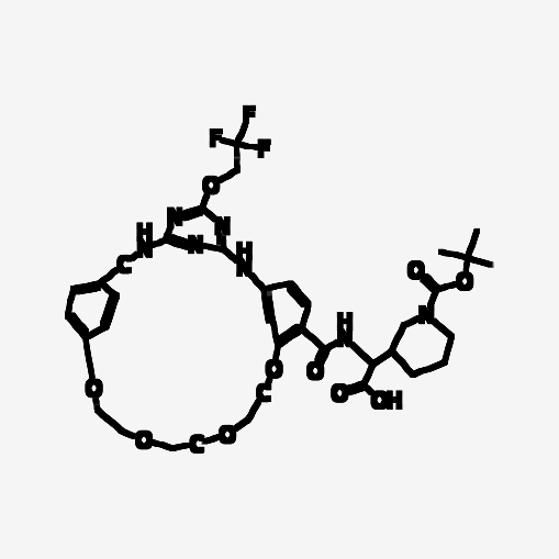 CC(C)(C)OC(=O)N1CCCC(C(NC(=O)c2ccc3cc2OCCOCCOCCOc2ccc(cc2)CNc2nc(nc(OCC(F)(F)F)n2)N3)C(=O)O)C1